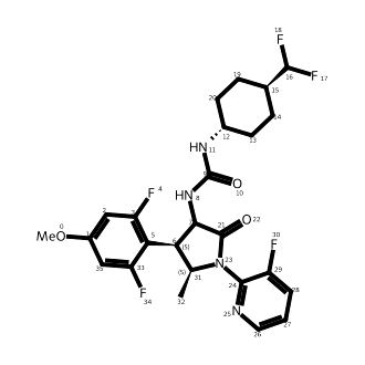 COc1cc(F)c([C@H]2C(NC(=O)N[C@H]3CC[C@H](C(F)F)CC3)C(=O)N(c3ncccc3F)[C@H]2C)c(F)c1